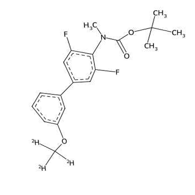 [2H]C([2H])([2H])Oc1cccc(-c2cc(F)c(N(C)C(=O)OC(C)(C)C)c(F)c2)c1